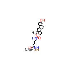 CNC(=O)[C@H](CCCCNC(=O)OC1CCC2C3CCc4cc(O)ccc4C3CCC12C)NS